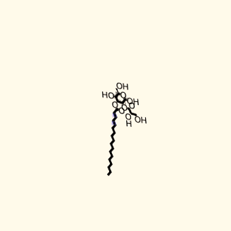 CCCCCCCCCCCCC/C=C/C=C/C(=O)O[C@H]1[C@@H](O)[C@@H](CO)O[C@@H](O)[C@@H]1OC(=O)C(O)CO